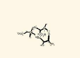 CCCC(C(=O)O)N(C)C.CCCCC(CC)C(N)=O.C[N+](C)(C)CC(=O)[O-]